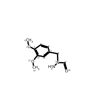 COc1ccc(CN(N)[C]=O)cc1OC